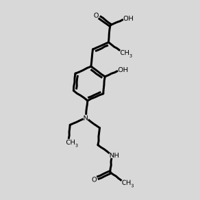 CCN(CCNC(C)=O)c1ccc(/C=C(\C)C(=O)O)c(O)c1